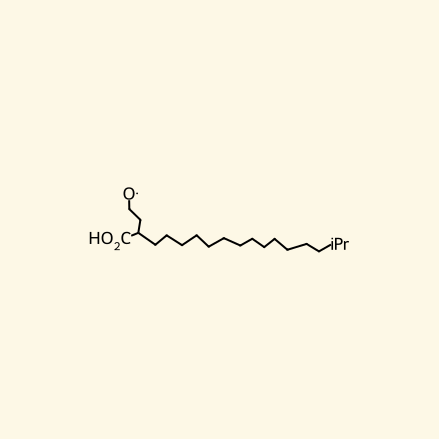 CC(C)CCCCCCCCCCCCCC(CC[O])C(=O)O